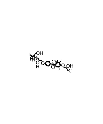 CC(C)(c1ccc(OCC(O)Cn2nnc(I)c2CO)cc1)c1ccc(OCC(O)CCl)c(I)c1